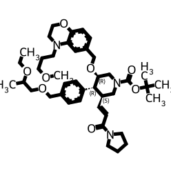 CCOC(C)COCc1ccc([C@H]2[C@H](C=CC(=O)N3CCCC3)CN(C(=O)OC(C)(C)C)C[C@@H]2OCc2ccc3c(c2)N(CCCOC)CCO3)cc1